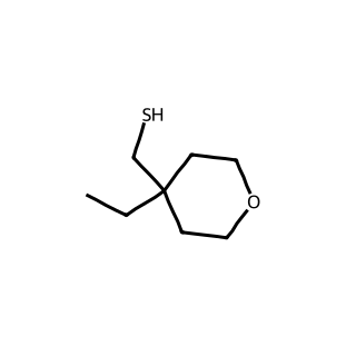 CCC1(CS)CCOCC1